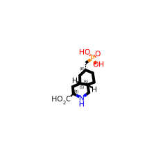 O=C(O)[C@H]1C[C@@H]2C[C@H](CP(=O)(O)O)CC[C@@H]2CN1